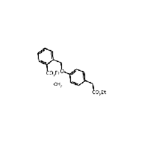 C.CCOC(=O)Cc1ccc(OCc2ccccc2C(=O)OCC)cc1